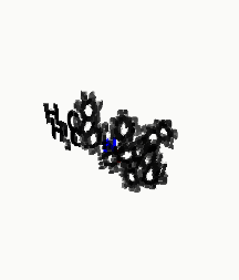 CC1(C)c2ccccc2-c2cc(N(c3ccccc3)c3ccccc3-c3cccc(C4(c5ccccc5)c5ccccc5-c5c4ccc4ccccc54)c3)ccc21